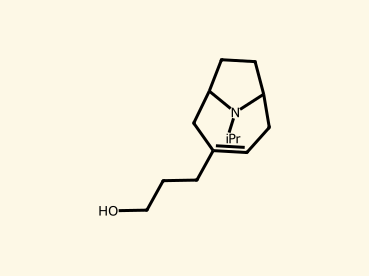 CC(C)N1C2CC=C(CCCO)CC1CC2